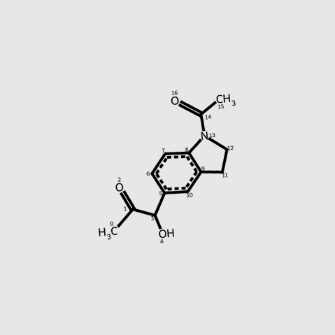 CC(=O)C(O)c1ccc2c(c1)CCN2C(C)=O